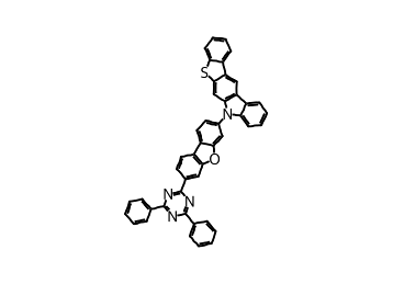 c1ccc(-c2nc(-c3ccccc3)nc(-c3ccc4c(c3)oc3cc(-n5c6ccccc6c6cc7c(cc65)sc5ccccc57)ccc34)n2)cc1